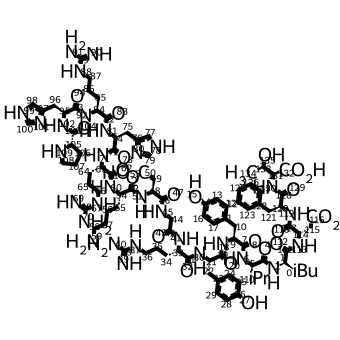 CC[C@H](C)[C@H](NC(=O)[C@@H](NC(=O)[C@H](Cc1ccc(O)cc1)NC(=O)[C@H](Cc1ccc(O)cc1)NC(=O)[C@H](CCCNC(=N)N)NC(=O)CNC(=O)[C@H](CC(=O)O)NC(=O)[C@H](CCCCN)NC(=O)[C@H](CCCNC(=N)N)NC(=O)[C@H](Cc1c[nH]cn1)NC(=O)[C@H](CCCNC(=N)N)NC(=O)[C@H](Cc1c[nH]cn1)NC(=O)[C@@H]1CCCN1)C(C)C)C(=O)N[C@@H](CC(=O)O)C(=O)N[C@@H](Cc1ccccc1)C(=O)N[C@H](C(=O)O)[C@@H](C)O